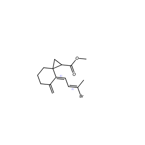 C=C1CCCC2(CC2C(=O)OC)/C1=C/C=C(\C)Br